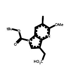 COc1nc2c(CC(=O)O)cn(C(=O)OC(C)(C)C)c2cc1C